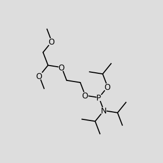 COCC(OC)OCCOP(OC(C)C)N(C(C)C)C(C)C